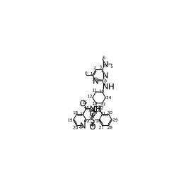 Cc1cc(N(C)C)nc(N[C@H]2CC[C@@H](NC(=O)c3cccnc3S(=O)(=O)c3ccccc3Cl)CC2)n1